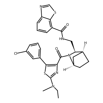 CCN(C)c1nc(C(=O)N2[C@@H]3CC[C@@H](C3)[C@@H]2CNC(=O)c2cccc3ncsc23)c(-c2cccc(Cl)c2)s1